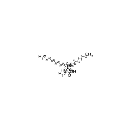 CCC(=O)O.CCCCCCCCCSC(C)(SCCCCCCCCC)C(=O)O